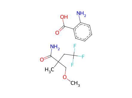 COCC(C)(CC(F)(F)F)C(N)=O.Nc1ccccc1C(=O)O